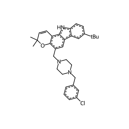 CC1(C)C=Cc2c(c(CN3CCN(Cc4cccc(Cl)c4)CC3)cc3c2[nH]c2ccc(C(C)(C)C)cc23)O1